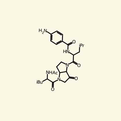 CCC(C)C(NC(C)=O)C(=O)N1CC(=O)C2C1CCN2C(=O)C(CC(C)C)NC(=O)c1ccc(N)cc1